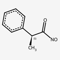 C[C@H](C(=O)N=O)c1ccccc1